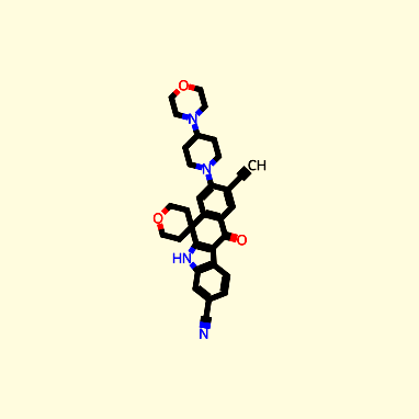 C#Cc1cc2c(cc1N1CCC(N3CCOCC3)CC1)C1(CCOCC1)c1[nH]c3cc(C#N)ccc3c1C2=O